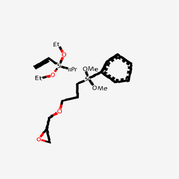 C=C[Si](CCC)(OCC)OCC.CO[Si](CCCOCC1CO1)(OC)c1ccccc1